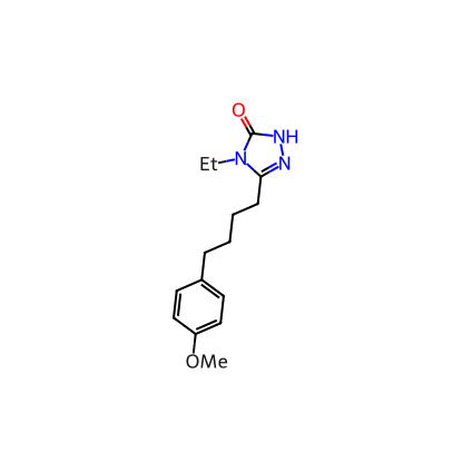 CCn1c(CCCCc2ccc(OC)cc2)n[nH]c1=O